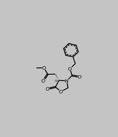 COC(=O)C[C@H]1C(=O)OCN1C(=O)OCc1ccccc1